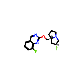 Fc1cccc2cnc(OC[C@@]34CCCN3C[C@H](F)C4)nc12